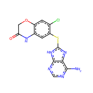 Nc1ncnc2[nH]c(Sc3cc4c(cc3Cl)OCC(=O)N4)nc12